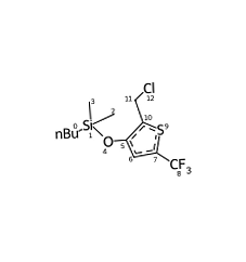 CCCC[Si](C)(C)Oc1cc(C(F)(F)F)sc1CCl